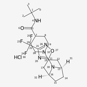 CC(C)(C)NC(=O)C1CCN(C2C[C@H]3CC[C@@H](C2)N3c2nc(C(F)(F)F)no2)CC1.Cl